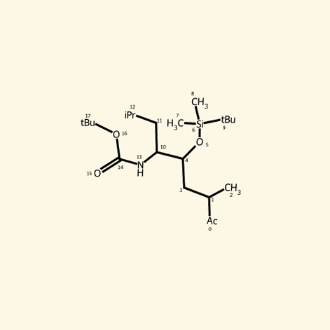 CC(=O)C(C)CC(O[Si](C)(C)C(C)(C)C)C(CC(C)C)NC(=O)OC(C)(C)C